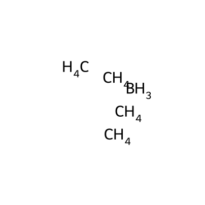 B.C.C.C.C